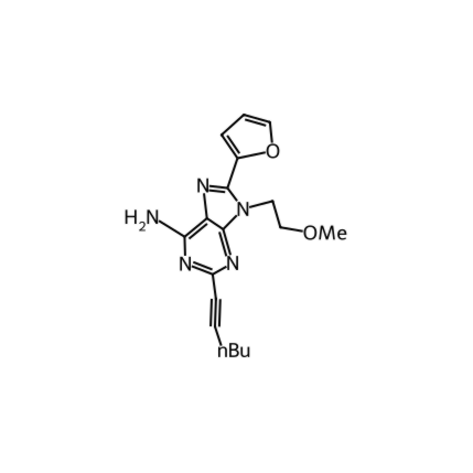 CCCCC#Cc1nc(N)c2nc(-c3ccco3)n(CCOC)c2n1